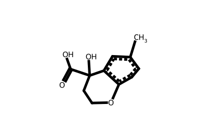 Cc1ccc2c(c1)C(O)(C(=O)O)CCO2